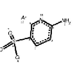 Nc1ccc(S(=O)(=O)Cl)cn1.[Ar]